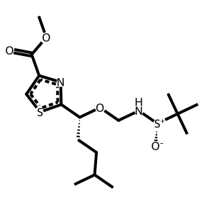 COC(=O)c1csc([C@@H](CCC(C)C)OCN[S@@+]([O-])C(C)(C)C)n1